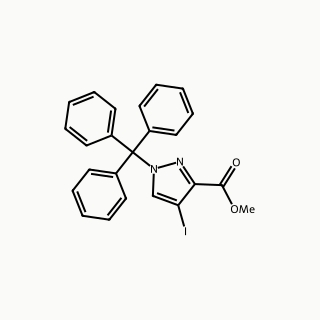 COC(=O)c1nn(C(c2ccccc2)(c2ccccc2)c2ccccc2)cc1I